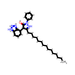 CCCCCCCCCCCCCCCc1[nH]n(-c2ccccc2)c(=O)c1-c1cccc2[nH]nnc12